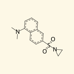 CN(C)c1cccc2cc(S(=O)(=O)N3CC3)ccc12